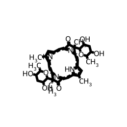 Cc1cc2cc3nc(cc4cc(C)c(cc5nc(cc1[nH]2)C(=O)C5(C)C1OC(C)C(O)CC1O)[nH]4)C(=O)C3(C)C1OC(C)C(O)CC1O